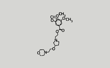 COc1cc(C(=O)OCCN2CCC(OCCN3CCOCC3)C2)cc(OC)c1OC